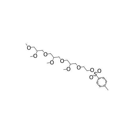 COCC(COCC(COCC(COCCOS(=O)(=O)c1ccc(C)cc1)OC)OC)OC